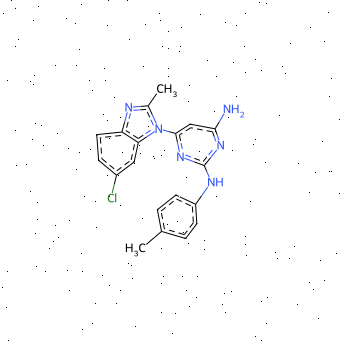 Cc1ccc(Nc2nc(N)cc(-n3c(C)nc4ccc(Cl)cc43)n2)cc1